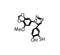 COc1cc(-n2nncc2-c2ccc(O)c(S)c2)cc2c1OCO2